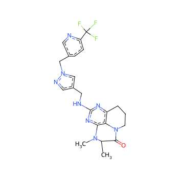 CC1C(=O)N2CCCc3nc(NCc4cnn(Cc5ccc(C(F)(F)F)nc5)c4)nc(c32)N1C